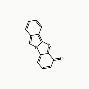 O=C1C=CC=c2c1nc1c3ccccc3cn21